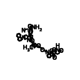 CN1C[C@H](OCCOCCNc2cccc3c2C(=O)N(C2CCC(=O)NC2=O)C3=O)C[C@H]1COc1nc2c(c(N3CCN(C(N)=O)[C@@H](CC#N)C3)n1)CCN(c1cccc3ccccc13)C2